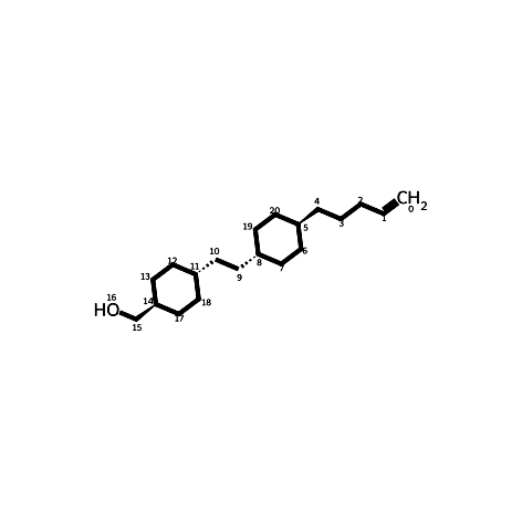 C=CCCC[C@H]1CC[C@H](CC[C@H]2CC[C@H](CO)CC2)CC1